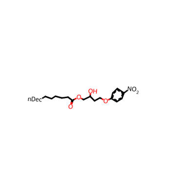 CCCCCCCCCCCCCCCC(=O)OCC(O)CCOc1ccc([N+](=O)[O-])cc1